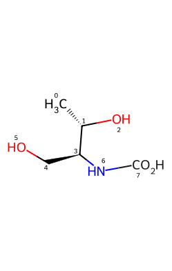 C[C@H](O)[C@H](CO)NC(=O)O